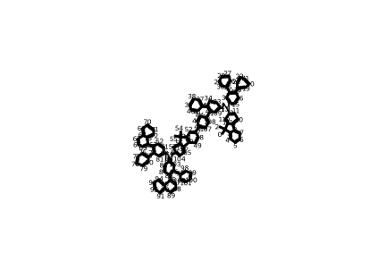 CC1(C)c2ccccc2-c2ccc(N(c3ccc(-c4ccccc4)c(-c4ccccc4)c3)c3ccc(-c4ccccc4)c(-c4ccc(-c5ccc6c(c5)C(C)(C)c5cc(N(c7ccc(-c8cccc9ccccc89)c(-c8ccccc8)c7)c7ccc(-c8cccc9ccccc89)c(-c8ccccc8)c7)ccc5-6)cc4)c3)cc21